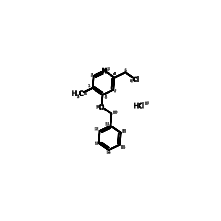 Cc1cnc(CCl)cc1OCc1ccccc1.Cl